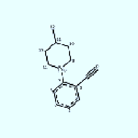 C#Cc1ccccc1N1CCC(C)CC1